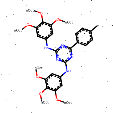 [CH2]c1ccc(-c2nc(Nc3cc(OCCCCCCCC)c(OCCCCCCCC)c(OCCCCCCCC)c3)nc(Nc3cc(OCCCCCCCC)c(OCCCCCCCC)c(OCCCCCCCC)c3)n2)cc1